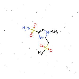 Cn1cc(S(N)(=O)=O)nc1CS(C)(=O)=O